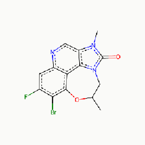 CC1Cn2c(=O)n(C)c3cnc4cc(F)c(Br)c(c4c32)O1